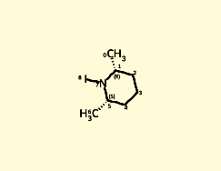 C[C@@H]1CCC[C@H](C)N1I